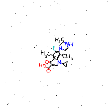 Cc1c(F)c(N2CCNC(C)C2)c(C)c2c1c(=O)c(C(=O)O)cn2C1CC1